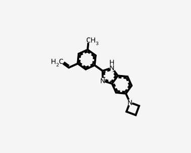 C=Cc1cc(C)cc(-c2nc3cc(N4CCC4)ccc3[nH]2)c1